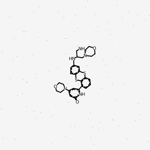 NCC(CN1CCOCC1)Nc1ccc2c(c1)Sc1cccc(-c3cc(N4CCOCC4)cc(=O)[nH]3)c1S2